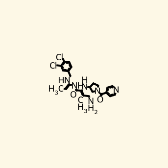 C/C=C(\NCc1ccc(Cl)c(Cl)c1)NC(=O)/C(NC1CCN(C(=O)c2ccncc2)C1)=C(\C)CN